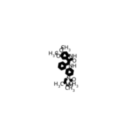 CNC(C)CN(C(C)=O)c1ccc(N/C(=C2\C(=O)Nc3cc(OC)c(OC)cc32)c2ccccc2)cc1